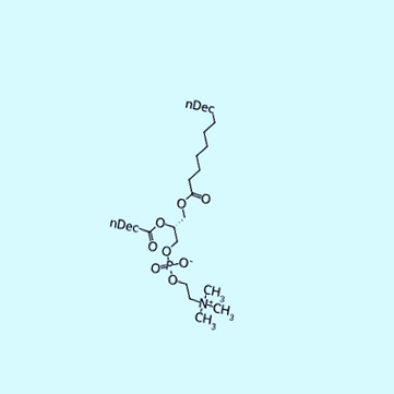 CCCCCCCCCCCCCCCCC(=O)OC[C@H](COP(=O)([O-])OCC[N+](C)(C)C)OC(=O)CCCCCCCCCC